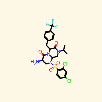 CC(C)N1CC2N(C(=O)C(N)CN2S(=O)(=O)c2ccc(Cl)cc2Cl)C(Cc2ccc(C(F)(F)F)cc2)C1=O